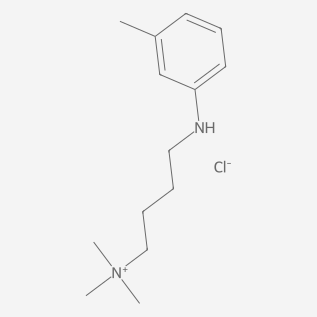 Cc1cccc(NCCCC[N+](C)(C)C)c1.[Cl-]